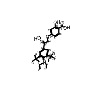 CCN(CC)c1c(C(C)(C)C)cc(C(COc2ccc(C(=O)O)c(O)c2)=NO)cc1C(F)(F)F